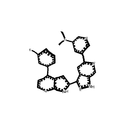 CN(C)c1cncc(-c2cc3c(-c4cc5c(-c6cccc(F)c6)ccnc5[nH]4)n[nH]c3cn2)c1